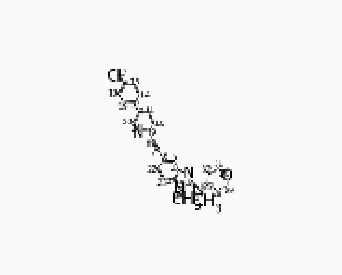 CN(c1nc2cc(C#Cc3ccc(-c4ccc(Cl)cc4)cn3)ccc2n1C)C1CCOCC1